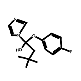 CC(C)(C)CC(O)(Oc1ccc(F)cc1)n1ccnc1